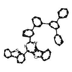 c1ccc(-c2cc(-c3ccccc3)cc(-c3cccc(-c4cccc(-c5nc(-c6cccc7c6sc6ccccc67)c6oc7ccccc7c6n5)c4)c3)c2)cc1